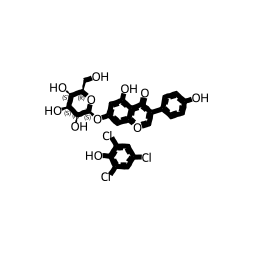 O=c1c(-c2ccc(O)cc2)coc2cc(O[C@@H]3O[C@H](CO)[C@@H](O)[C@H](O)[C@H]3O)cc(O)c12.Oc1c(Cl)cc(Cl)cc1Cl